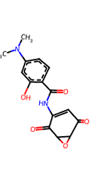 CN(C)c1ccc(C(=O)NC2=CC(=O)C3OC3C2=O)c(O)c1